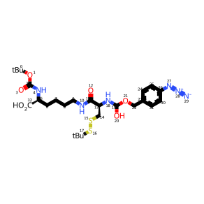 CC(C)(C)OC(=O)N[C@@H](CCCCNC(=O)[C@H](CSSC(C)(C)C)NC(O)OCc1ccc(N=[N+]=[N-])cc1)C(=O)O